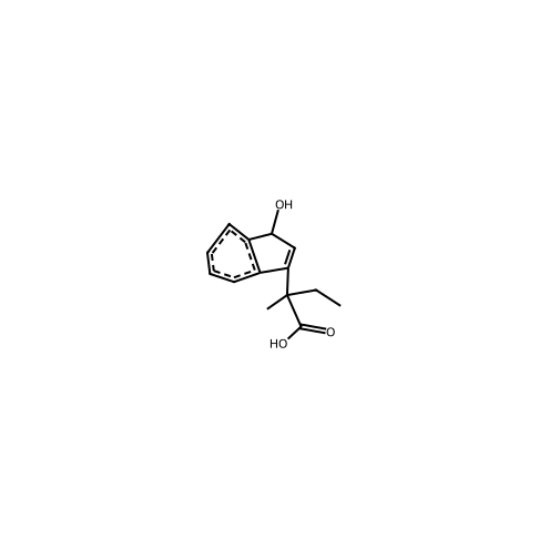 CCC(C)(C(=O)O)C1=CC(O)c2ccccc21